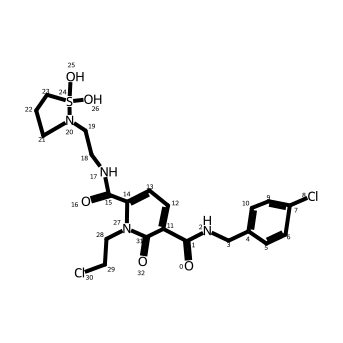 O=C(NCc1ccc(Cl)cc1)c1ccc(C(=O)NCCN2CCCS2(O)O)n(CCCl)c1=O